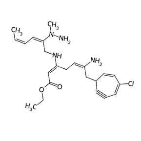 C/C=C\C=C(/CN/C(=C/C(=O)OCC)C/C=C(/N)CC1C#CC=C(Cl)C=C1)N(C)N